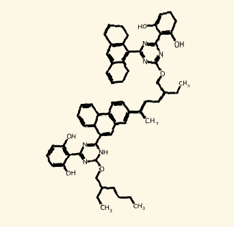 CCCCC(CC)COC1N=C(c2c(O)cccc2O)N=C(C2=Cc3cc(C(C)CCC(CC)COc4nc(C5=C(O)CCC=C5O)nc(-c5c6c(cc7c5CCCC7)C=CCC6)n4)ccc3C3C=CC=CC23)N1